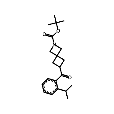 CC(C)c1ccccc1C(=O)C1CC2(C1)CN(C(=O)OC(C)(C)C)C2